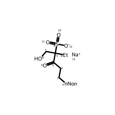 CCCCCCCCCCCC(=O)C(CC)(CO)S(=O)(=O)[O-].[Na+]